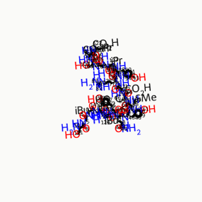 CC[C@H](C)[C@H](NC(=O)CNC(=O)[C@@H](N)CO)C(=O)N[C@H](C(=O)N[C@H](C(=O)N[C@@H](Cc1ccc(O)cc1)C(=O)N[C@@H](CCC(N)=O)C(=O)N[C@@H](Cc1ccc(O)cc1)C(=O)N[C@@H](CCSC)C(=O)N[C@@H](CC(=O)O)C(=O)N[C@@H](CC(=O)O)C(=O)N[C@@H](CCCNC(=N)N)C(=O)N[C@@H](Cc1ccc(O)cc1)C(=O)N[C@H](C(=O)NCC(=O)N[C@@H](CO)C(=O)N[C@@H](CC(=O)O)C(=O)N[C@@H](CC(C)C)C(=O)O)C(C)C)[C@@H](C)CC)C(C)C